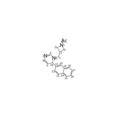 CC(=O)N1CC(CN2C=NC=CC2c2ccc3ccccc3c2)C1